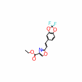 CCOC(=O)c1coc(/C=C/c2ccc3c(c2)OC(F)(F)O3)n1